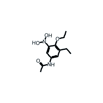 CCOc1c(CC)cc(NC(C)=O)cc1N(O)O